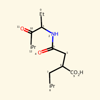 CCC(NC(=O)CC(CC(C)C)C(=O)O)C(=O)C(C)C